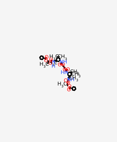 CC(COC(=O)c1ccccc1)OC(=O)NCC1(C)CC(NC(=O)OCCOC(=O)NC2CC(C)(C)CC(C)(CNC(=O)OC(C)COC(=O)c3ccccc3)C2)CC(C)(C)C1